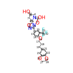 O=C(O)N1C[C@H](O)C[C@H]1c1nc(-c2ccc(OCCCc3ccc4c(c3)OCCO4)c(C(F)(F)F)c2)no1